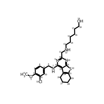 COc1ccc(CNc2nc(CNCCCCCCO)nc3sc4c(c23)CCCC4)cc1Cl